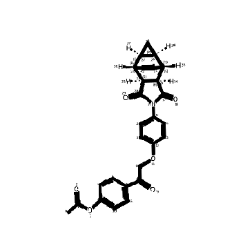 CC(=O)Oc1ccc(C(=O)COc2ccc(N3C(=O)[C@@H]4[C@@H]5C=C[C@@H]([C@H]6C[C@@H]56)[C@@H]4C3=O)cc2)cc1